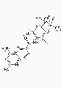 Bc1cc(C#N)nc2ccc(C(=O)Nc3c(C)cc(C(F)(C(F)(F)F)C(F)(F)C(F)(F)F)cc3CC)cc12